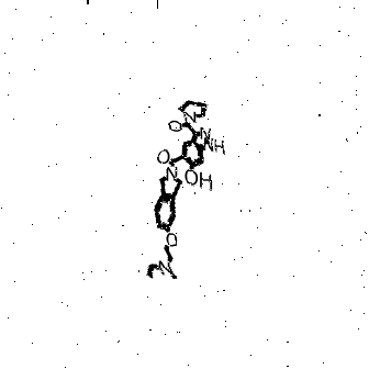 CCN(C)CCOc1ccc2c(c1)CN(C(=O)c1cc3c(C(=O)N4CCCC4)n[nH]c3cc1O)C2